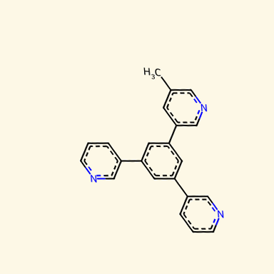 Cc1cncc(-c2cc(-c3cccnc3)cc(-c3cccnc3)c2)c1